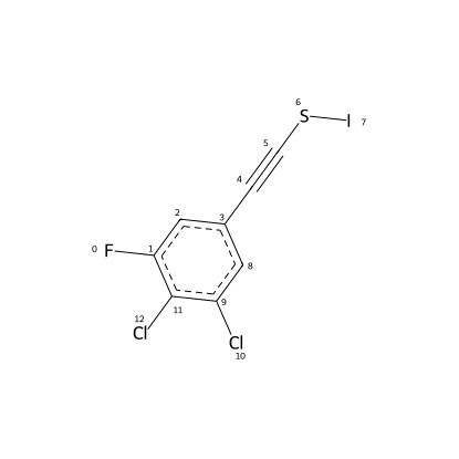 Fc1cc(C#CSI)cc(Cl)c1Cl